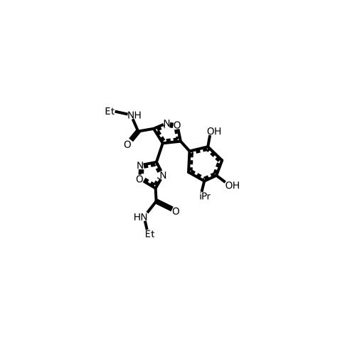 CCNC(=O)c1nc(-c2c(C(=O)NCC)noc2-c2cc(C(C)C)c(O)cc2O)no1